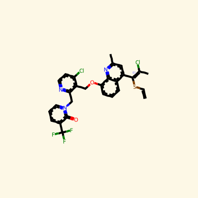 C=CS/C(=C(\C)Cl)c1cc(C)nc2c(OCc3c(Cl)ccnc3Cn3cccc(C(F)(F)F)c3=O)cccc12